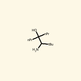 CCCC(O)(CCC)C(N)C(C)(C)C